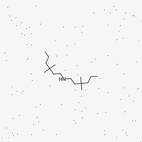 CCCC(C)(C)CCNCCC(C)(C)CCC